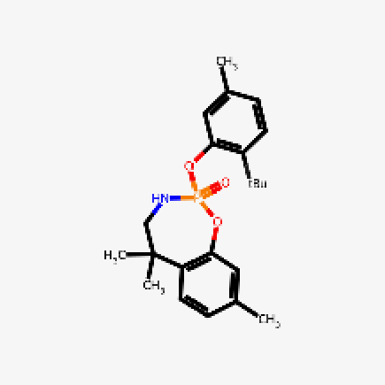 Cc1ccc(C(C)(C)C)c(OP2(=O)NCC(C)(C)c3ccc(C)cc3O2)c1